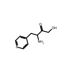 NC(Cc1ccncc1)C(=O)CO